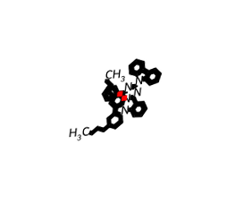 CCCCc1ccc2c(c1)c1c(n2-c2ccccc2-c2nc(-c3ccccc3)nc(-n3c4ccccc4c4ccccc43)n2)C=CC(CCCC)C1